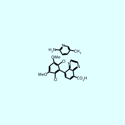 COc1cc(OC)c(Cl)c(-c2ccc(C(=O)O)c3nccnc23)c1Cl.Cc1ccc(N)nc1